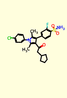 Cc1c(C(=O)CC2CCCC2)c(-c2ccc(S(N)(=O)=O)c(F)c2)c(C)n1-c1ccc(Cl)cc1